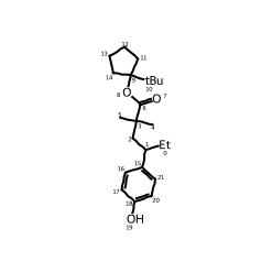 CCC(CC(C)(C)C(=O)OC1(C(C)(C)C)CCCC1)c1ccc(O)cc1